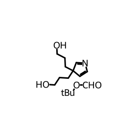 CC(C)(C)OC=O.OCCCC1(CCCO)C=CN=C1